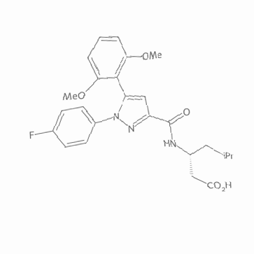 COc1cccc(OC)c1-c1cc(C(=O)N[C@@H](CC(=O)O)CC(C)C)nn1-c1ccc(F)cc1